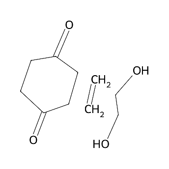 C=C.O=C1CCC(=O)CC1.OCCO